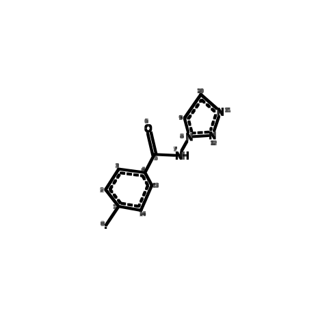 [CH2]c1ccc(C(=O)Nn2[c]cnn2)cc1